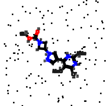 COc1c(-c2cnn(C3CN(C(=O)OC(C)(C)C)C3)c2)nc(SC)nc1C(F)(F)F